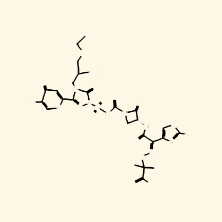 CCOCC(O)Cn1c(-c2cc(=O)c(O)c[nH]2)nn(S(=O)(=O)NC(=O)N2C[C@H](NC(=O)/C(=N\OC(C)(C)C(=O)O)c3csc(N)n3)C2=O)c1=O